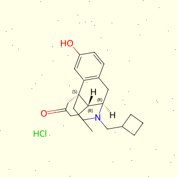 CC1CC(=O)C[C@]23CCN(CC4CCC4)[C@H](Cc4ccc(O)cc42)[C@H]13.Cl